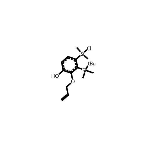 C=CCOc1c(O)ccc([Si](C)(C)Cl)c1[Si](C)(C)C(C)(C)C